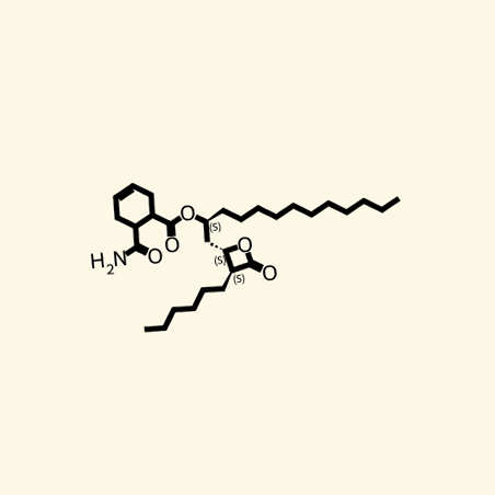 CCCCCCCCCCC[C@@H](C[C@@H]1OC(=O)[C@H]1CCCCCC)OC(=O)C1CC=CCC1C(N)=O